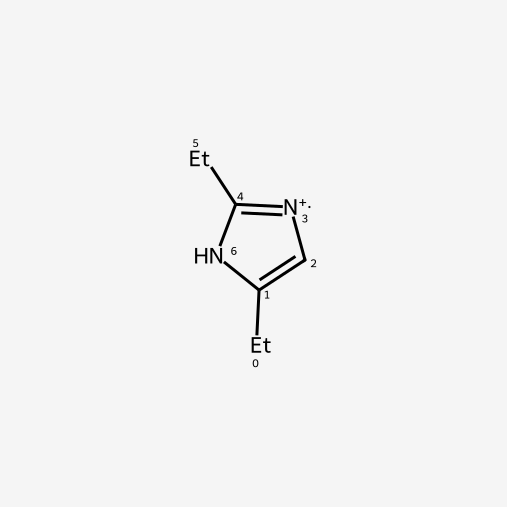 CCC1=C[N+]=C(CC)N1